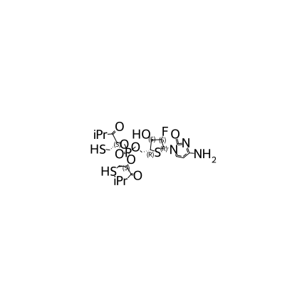 CC(C)C(=O)[C@@H](CS)OP(=O)(OC[C@H]1S[C@@H](n2ccc(N)nc2=O)[C@@H](F)[C@@H]1O)O[C@H](CS)C(=O)C(C)C